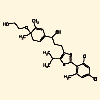 CC1=CC(C(O)CCc2nc(-c3c(C)cc(Cl)cc3Cl)sc2C(C)C)=CCC1(C)OCCO